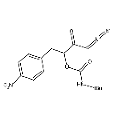 CC(C)(C)NC(=O)OC(Cc1ccc([N+](=O)[O-])cc1)C(=O)C=[N+]=[N-]